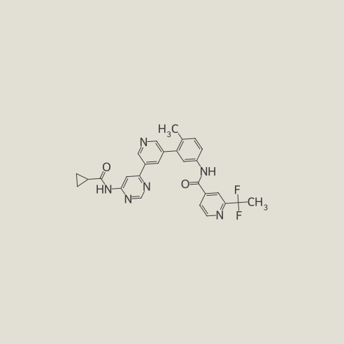 Cc1ccc(NC(=O)c2ccnc(C(C)(F)F)c2)cc1-c1cncc(-c2cc(NC(=O)C3CC3)ncn2)c1